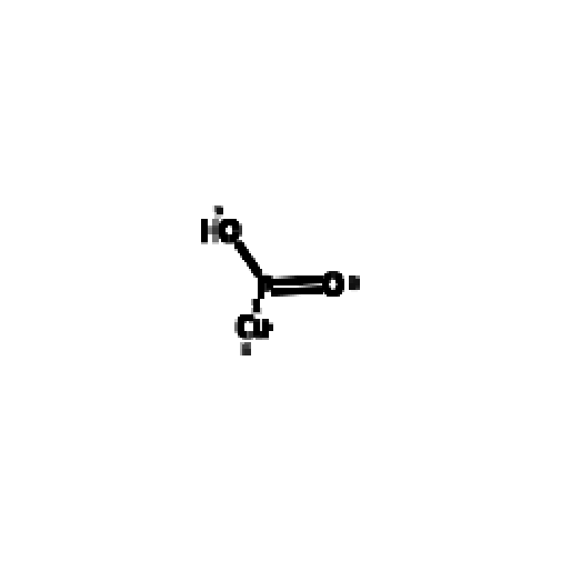 O=PO.[Cu]